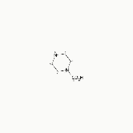 O=C(O)N1CC[N]CC1